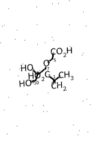 C=C(C)C(=O)O.O=C(O)COCC(O)CO